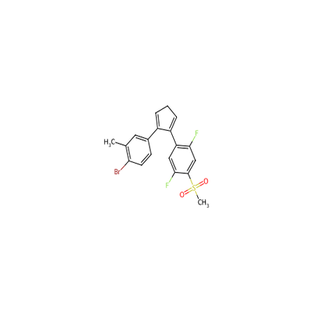 Cc1cc(C2=CCC=C2c2cc(F)c(S(C)(=O)=O)cc2F)ccc1Br